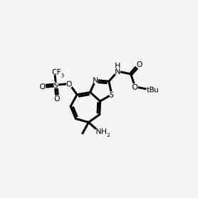 CC1(N)C=CC(OS(=O)(=O)C(F)(F)F)=c2nc(NC(=O)OC(C)(C)C)sc2=C1